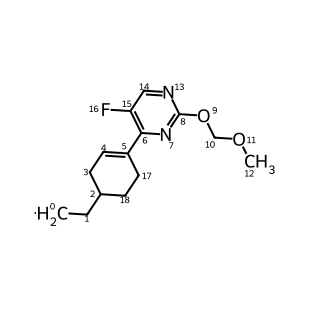 [CH2]CC1CC=C(c2nc(OCOC)ncc2F)CC1